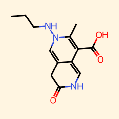 CCCNN1C=C2CC(=O)NC=C2C(C(=O)O)=C1C